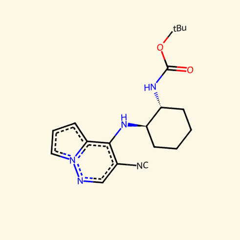 [C-]#[N+]c1cnn2cccc2c1N[C@@H]1CCCC[C@H]1NC(=O)OC(C)(C)C